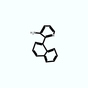 Nc1cccnc1-c1cccc2ccccc12